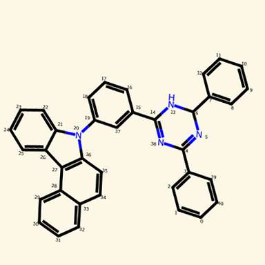 c1ccc(C2=NC(c3ccccc3)NC(c3cccc(-n4c5ccccc5c5c6ccccc6ccc54)c3)=N2)cc1